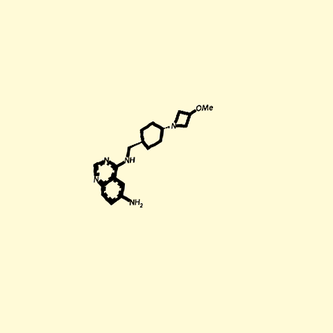 COC1CN([C@H]2CC[C@H](CNc3ncnc4ccc(N)cc34)CC2)C1